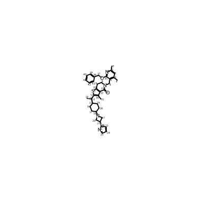 Cc1cc(C)c(CN2CCc3sc([C@H](C)C4CCC(N5CC(n6cccn6)C5)CC4)c(C)c3C2=O)c(OCc2ccccc2)n1